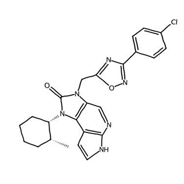 C[C@@H]1CCCC[C@@H]1n1c(=O)n(Cc2nc(-c3ccc(Cl)cc3)no2)c2cnc3[nH]ccc3c21